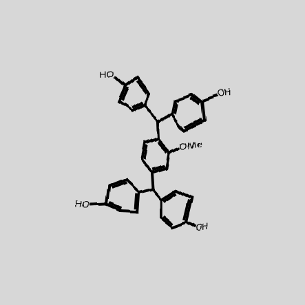 COc1cc(C(c2ccc(O)cc2)c2ccc(O)cc2)ccc1C(c1ccc(O)cc1)c1ccc(O)cc1